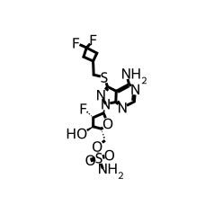 Nc1ncnc2c1c(SCC1CC(F)(F)C1)nn2[C@@H]1O[C@H](COS(N)(=O)=O)[C@@H](O)[C@@H]1F